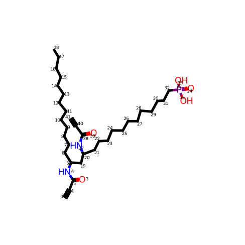 C#CC(=O)NC(CCCCCCCCCCCCC)CC(CCCCCCCCCCCCP(=O)(O)O)NC(=O)C#C